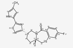 Cc1c[nH]c(-c2nc([C@H]3CC[C@H]4CSc5cc(F)ccc5C(=O)N4C3)no2)c1